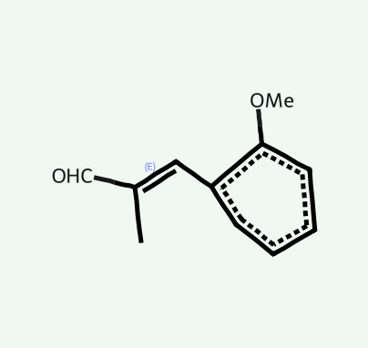 COc1ccccc1/C=C(\C)C=O